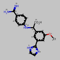 CCOc1cc(-c2ncc[nH]2)cc(C(Nc2ccc(C(=N)N)cc2)C(=O)O)c1